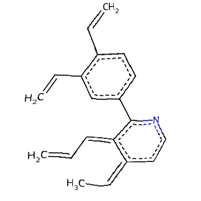 C=C/C=c1/c(-c2ccc(C=C)c(C=C)c2)ncc/c1=C/C